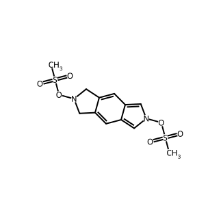 CS(=O)(=O)ON1Cc2cc3cn(OS(C)(=O)=O)cc3cc2C1